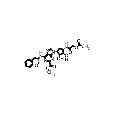 COC(=O)c1nc(N[C@H](CO)Cc2ccccc2)c2ncn([C@@H]3C[C@H](NC(=O)COC(C)=O)[C@@H](O)[C@H]3O)c2n1